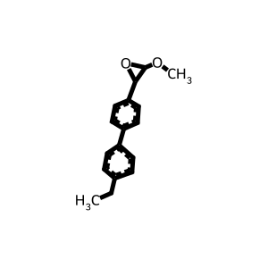 CCc1ccc(-c2ccc(C3OC3OC)cc2)cc1